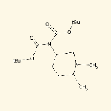 CC1CCC(N(C(=O)OC(C)(C)C)C(=O)OC(C)(C)C)CN1C